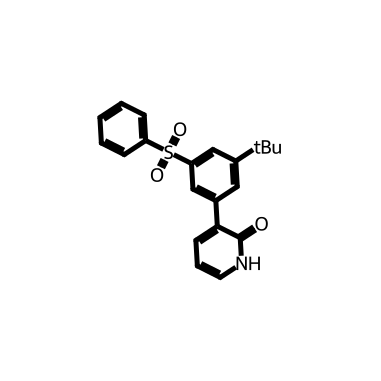 CC(C)(C)c1cc(-c2ccc[nH]c2=O)cc(S(=O)(=O)c2ccccc2)c1